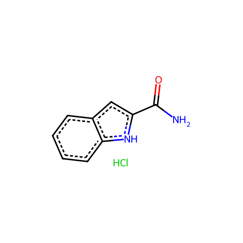 Cl.NC(=O)c1cc2ccccc2[nH]1